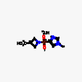 Cn1cnc(S(=O)(=O)N2CC(C(=O)O)C2)c1.[LiH]